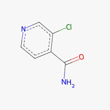 NC(=O)c1ccncc1Cl